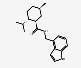 CC(C)[C@@H]1CC[C@@H](C)C[C@H]1C(=O)NCc1cccc2[nH]ccc12